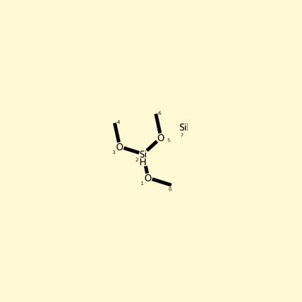 CO[SiH](OC)OC.[Si]